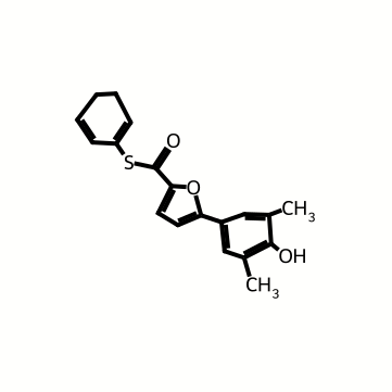 Cc1cc(-c2ccc(C(=O)SC3=CCCC=C3)o2)cc(C)c1O